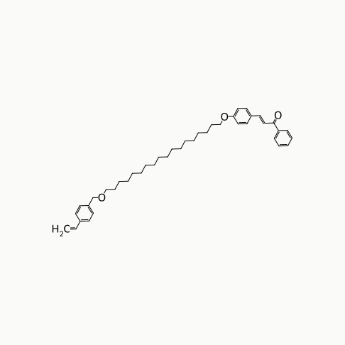 C=Cc1ccc(COCCCCCCCCCCCCCCCCCCOc2ccc(C=CC(=O)c3ccccc3)cc2)cc1